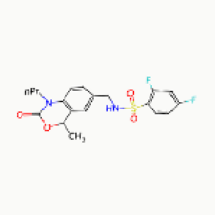 CCCN1C(=O)OC(C)c2cc(CNS(=O)(=O)c3ccc(F)cc3F)ccc21